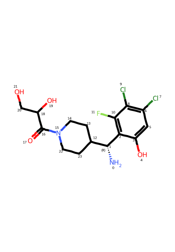 N[C@@H](c1c(O)cc(Cl)c(Cl)c1F)C1CCN(C(=O)C(O)CO)CC1